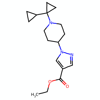 CCOC(=O)c1cnn(C2CCN(C3(C4CC4)CC3)CC2)c1